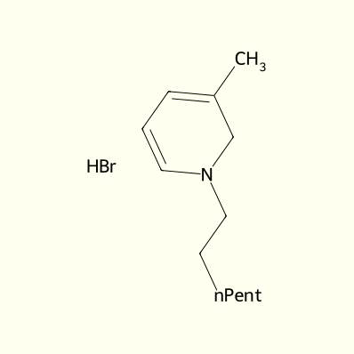 Br.CCCCCCCN1C=CC=C(C)C1